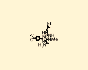 CC/C=C(\C)CCNC(=N)OC(NC)C(/N=C(\CC)c1ccc(C(=O)N(C)C)cc1)=C(\C)N